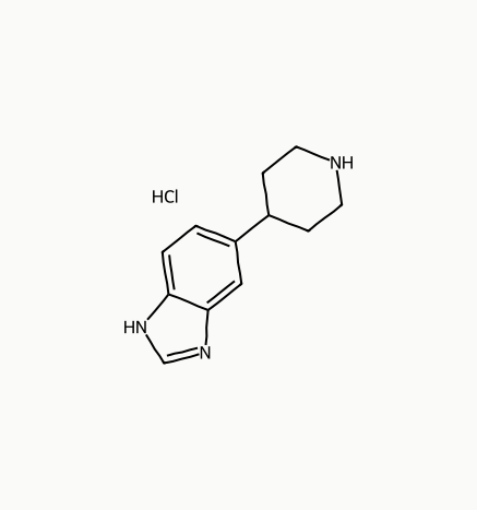 Cl.c1nc2cc(C3CCNCC3)ccc2[nH]1